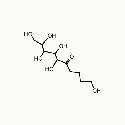 O=C(CCCCO)C(O)C(O)C(O)C(O)CO